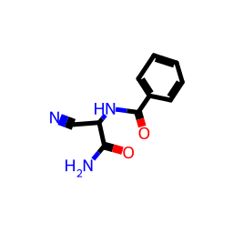 N#CC(NC(=O)c1ccccc1)C(N)=O